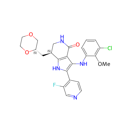 COc1c(Cl)cccc1Nc1c(-c2ccncc2F)[nH]c2c1C(=O)NC[C@@H]2C[C@H]1COCCO1